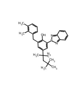 Cc1cccc(Cc2cc(C(C)(C)CC(C)(C)C)cc(-n3nc4ccccc4n3)c2O)c1C